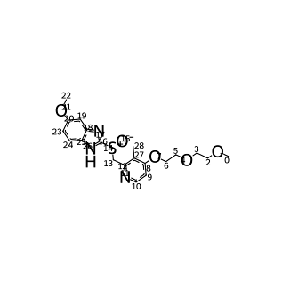 COCCOCCOc1ccnc(C[S+]([O-])c2nc3cc(OC)ccc3[nH]2)c1C